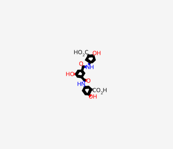 O=C(Nc1ccc(O)c(C(=O)O)c1)c1cc(O)cc(C(=O)Nc2ccc(O)c(C(=O)O)c2)c1